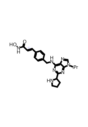 CC(C)n1cnc2c(NCc3ccc(/C=C/C(=O)NO)cc3)nc(C3CCCN3)nc21